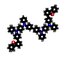 c1ccc(N(c2ccc(-c3ccc(N(c4ccccc4)c4ccc(N(c5ccccc5)c5ccc(-c6cccc7c6oc6ccccc67)cc5)cc4)cc3)cc2)c2ccc(N(c3ccccc3)c3ccc(-c4cccc5c4oc4ccccc45)cc3)cc2)cc1